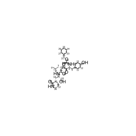 CC(C)C[C@H](NC(=O)C(Cc1ccc(O)cc1)NC(=O)OCc1ccccc1)C(=O)N[C@H](CO)C[C@@H]1CCCNC1=O